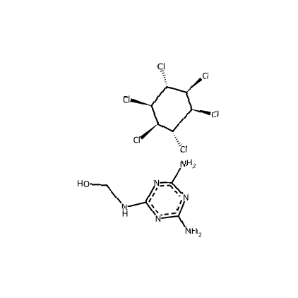 Cl[C@H]1[C@H](Cl)[C@@H](Cl)[C@@H](Cl)[C@H](Cl)[C@H]1Cl.Nc1nc(N)nc(NCO)n1